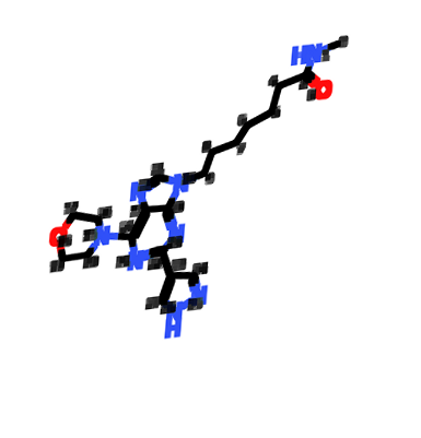 CNC(=O)CCCCCCn1cnc2c(N3CCOCC3)nc(-c3cn[nH]c3)nc21